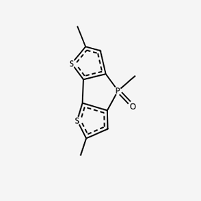 Cc1cc2c(s1)-c1sc(C)cc1P2(C)=O